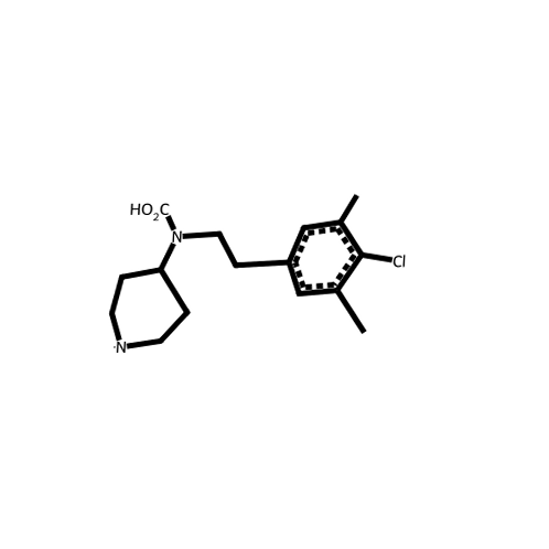 Cc1cc(CCN(C(=O)O)C2CC[N]CC2)cc(C)c1Cl